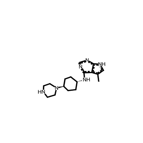 Cc1c[nH]c2ncnc(N[C@H]3CC[C@H](N4CCNCC4)CC3)c12